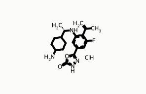 C=C(C)c1c(F)cc(-c2n[nH]c(=O)o2)cc1N[C@@H](C)C1CCC(N)CC1.Cl